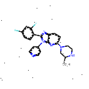 O=C(O)C1CN(c2ccc3nc(-c4ccc(F)cc4F)n(-c4ccncc4)c3n2)CCN1